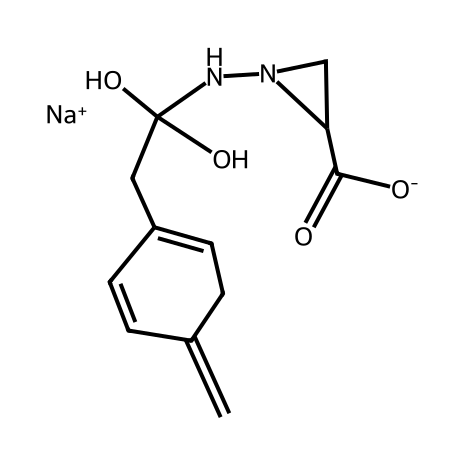 C=C1C=CC(CC(O)(O)NN2CC2C(=O)[O-])=CC1.[Na+]